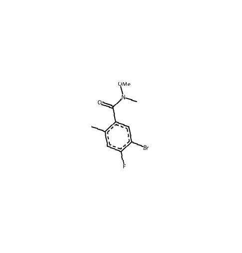 CON(C)C(=O)c1cc(Br)c(F)cc1C